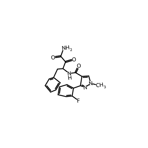 Cn1cc(C(=O)NC(Cc2ccccc2)C(=O)C(N)=O)c(-c2ccccc2F)n1